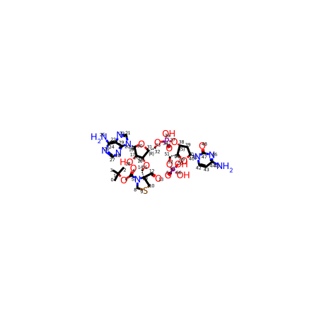 CC(C)(C)OC(=O)N1CSC[C@@]1(C=O)CO[C@H]1[C@@H](O)[C@H](n2cnc3c(N)ncnc32)O[C@@H]1COP(=O)(O)O[C@H]1C[C@H](n2ccc(N)nc2=O)O[C@@H]1COP(=O)(O)O